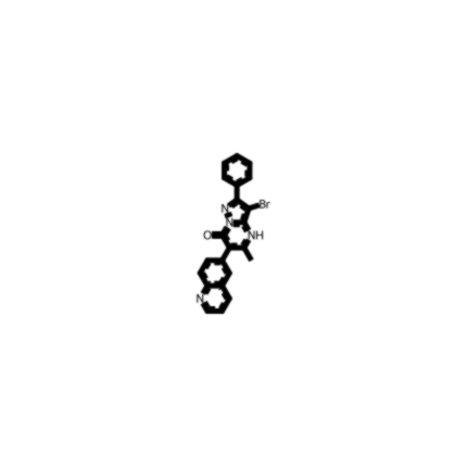 Cc1[nH]c2c(Br)c(-c3ccccc3)nn2c(=O)c1-c1ccc2ncccc2c1